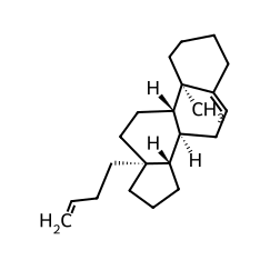 C=CCC[C@@]12CCC[C@H]1[C@@H]1CC=C3CCCC[C@]3(C)[C@H]1CC2